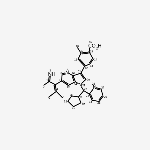 CC(=N)C(=C(C)C)c1cnc2c(-c3ccc(C(=O)O)c(C)c3)cn(C(c3ccccn3)C3CCCC3)c2c1